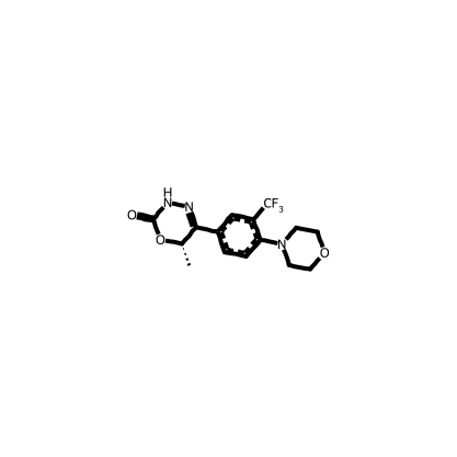 C[C@@H]1OC(=O)NN=C1c1ccc(N2CCOCC2)c(C(F)(F)F)c1